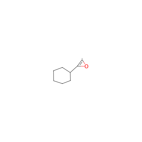 [C]1=C(C2CCCCC2)O1